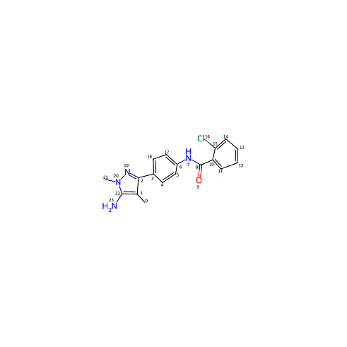 Cc1c(-c2ccc(NC(=O)c3ccccc3Cl)cc2)nn(C)c1N